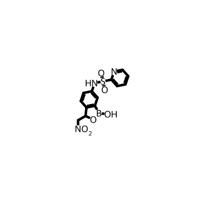 O=[N+]([O-])CC1OB(O)c2cc(NS(=O)(=O)c3ccccn3)ccc21